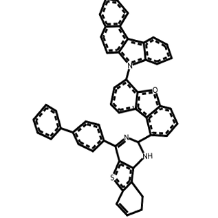 C1=Cc2sc3c(c2CC1)NC(c1cccc2oc4c(-n5c6ccccc6c6c7ccccc7ccc65)cccc4c12)N=C3c1ccc(-c2ccccc2)cc1